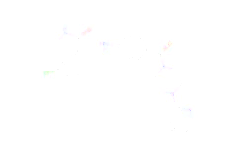 O=C1NCc2c(Cl)ccc(-c3cc4cc(C(=O)N5CCN(c6ccccn6)CC5)ccc4[nH]3)c21